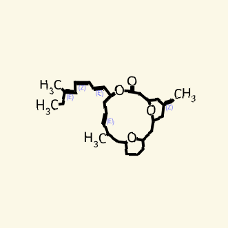 C/C=C1\CC2CC(=O)OC(/C=C/C=C\C=C(/C)CC)C/C=C/C(C)CC3CCCC(CC(C1)O2)O3